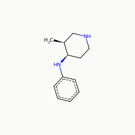 C[C@H]1CNCC[C@H]1Nc1ccccc1